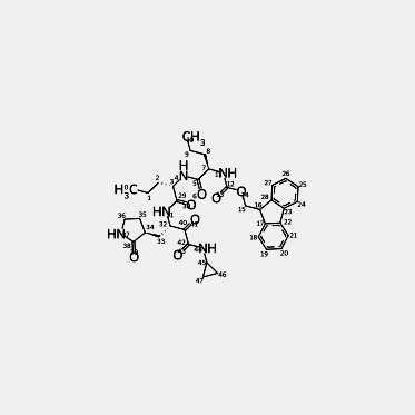 CCC[C@H](NC(=O)[C@@H](CCC)NC(=O)OCC1c2ccccc2-c2ccccc21)C(=O)N[C@@H](C[C@@H]1CCNC1=O)C(=O)C(=O)NC1CC1